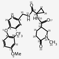 COc1ccc(Oc2ccc(CNC(=O)C3(NC(=O)C4CCC(=O)N(C)C4)CC3)nc2)c(C(F)(F)F)c1